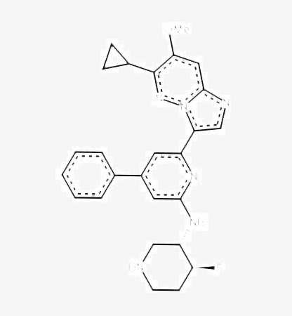 COc1cc2ncc(-c3cc(-c4ccccc4)cc(N[C@H]4CNCC[C@@H]4F)n3)n2nc1C1CC1